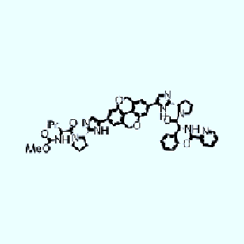 COC(=O)NC(C(=O)N1CCC[C@H]1c1ncc(-c2cc3c4c(c2)OCc2cc(-c5cnc([C@@H]6CCCN6C(=O)[C@H](NC(=O)c6ccccn6)c6ccccc6)[nH]5)cc(c2-4)OC3)[nH]1)C(C)C